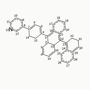 C1=CC2C(C3=CC=C(c4cccnc4)CC3)=c3ccccc3=C(C3=c4ccccc4=CCC3)C2C=C1